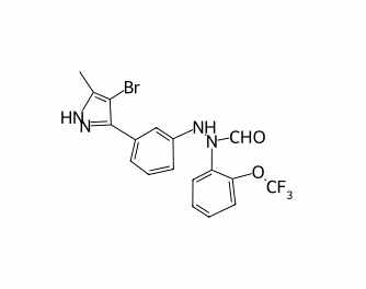 Cc1[nH]nc(-c2cccc(NN(C=O)c3ccccc3OC(F)(F)F)c2)c1Br